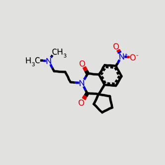 CN(C)CCCN1C(=O)c2cc([N+](=O)[O-])ccc2C2(CCCC2)C1=O